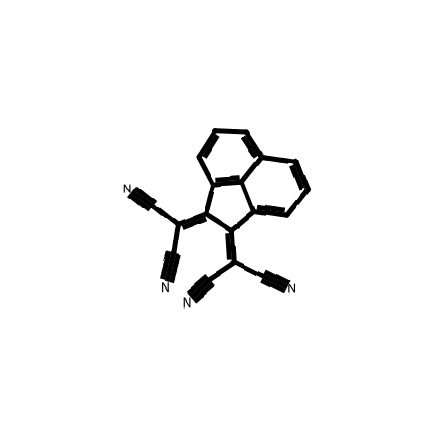 N#CC(C#N)=C1C(=C(C#N)C#N)c2cccc3cccc1c23